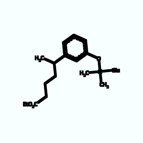 CCOC(=O)CCCC(C)c1cccc(O[Si](C)(C)C(C)(C)C)c1